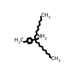 C=Cc1ccc(C(CN)(CCCCCCCCCC)CCCCCCCCCC)cc1